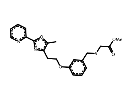 COC(=O)CSCc1cccc(OCCc2nc(-c3ccccn3)oc2C)c1